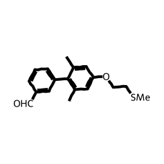 CSCCOc1cc(C)c(-c2cccc(C=O)c2)c(C)c1